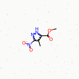 COC(=O)c1[nH]nc([N+](=O)[O-])c1C